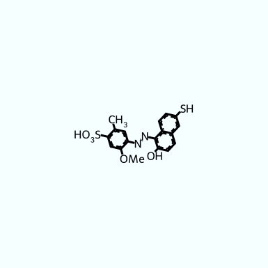 COc1cc(S(=O)(=O)O)c(C)cc1/N=N/c1c(O)ccc2cc(S)ccc12